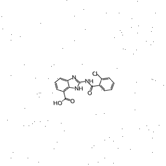 O=C(Nc1nc2cccc(C(=O)O)c2[nH]1)c1ccccc1Cl